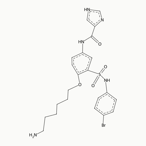 NCCCCCCOc1ccc(NC(=O)c2c[nH]cn2)cc1S(=O)(=O)Nc1ccc(Br)cc1